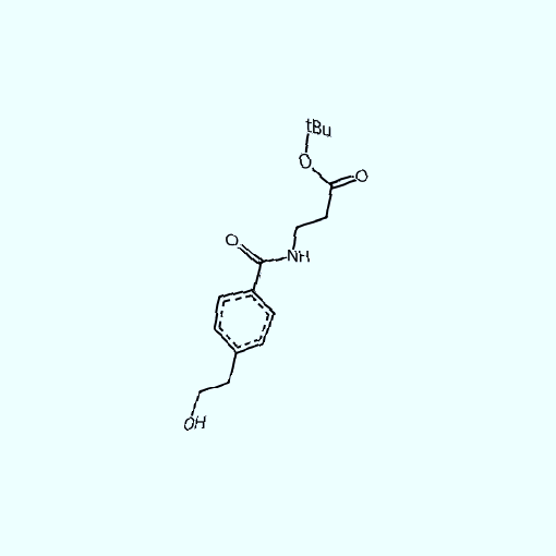 CC(C)(C)OC(=O)CCNC(=O)c1ccc(CCO)cc1